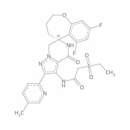 CCS(=O)(=O)CC(=O)Nc1c(-c2ccc(C)cn2)nn2c1C(=O)N[C@@]1(CCCOc3cc(F)cc(F)c31)C2